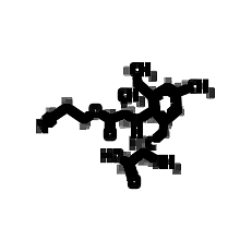 CCc1cc(C)cc(CC)c1N[C@@H](C)C(=O)OCCC#N.NCC(=O)O